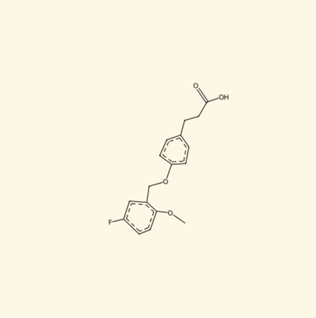 COc1ccc(F)cc1COc1ccc(CCC(=O)O)cc1